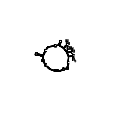 CC1COCC=CCCOC(=O)CCCC(=O)C(C)C1(C)C